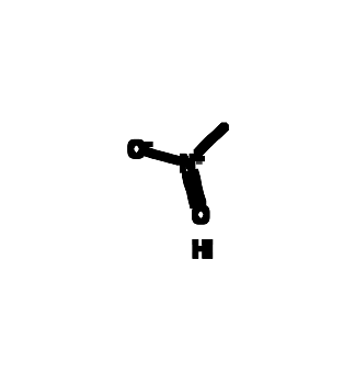 C[N+](=O)[O-].I